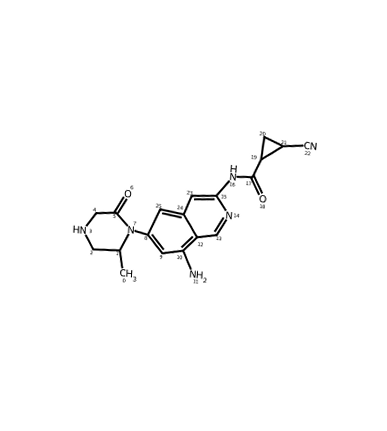 CC1CNCC(=O)N1c1cc(N)c2cnc(NC(=O)C3CC3C#N)cc2c1